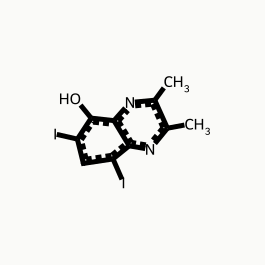 Cc1nc2c(I)cc(I)c(O)c2nc1C